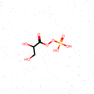 O=C(OOP(=O)(O)O)C(O)CO